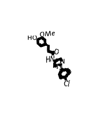 COc1cc(/C=C/C(=O)Nc2cnn(-c3ccc(Cl)cc3)c2)ccc1O